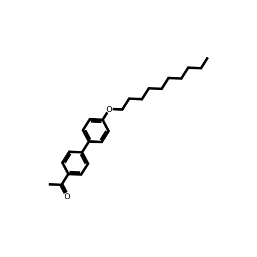 CCCCCCCCCCOc1ccc(-c2ccc(C(C)=O)cc2)cc1